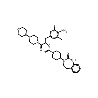 Cc1cc(C[C@@H](OC(=O)N2CCC(N3CCc4ccccc4NC3=O)CC2)C(=O)N2CCC(N3CCOCC3)CC2)cc(C)c1N